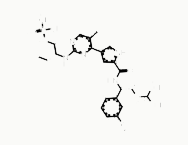 CC[C@H](COP(=O)(O)O)Nc1ncc(C)c(-c2c[nH]c(C(=O)N[C@H](COC(O)O)c3cccc(Cl)c3)c2)n1